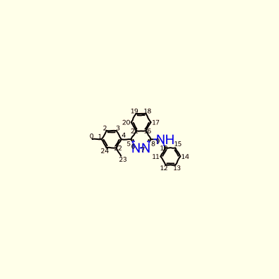 Cc1ccc(-c2nnc(Nc3ccccc3)c3ccccc23)c(C)c1